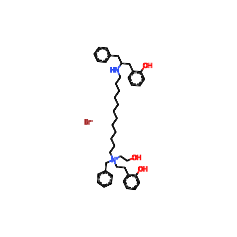 OCC[N+](CCCCCCCCCCCCNC(Cc1ccccc1)Cc1ccccc1O)(CCc1ccccc1O)Cc1ccccc1.[Br-]